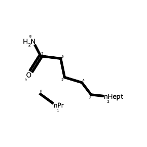 CCCC.CCCCCCCCCCCC(N)=O